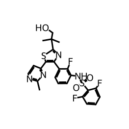 Cc1nccc(-c2sc(C(C)(C)CO)nc2-c2cccc(NS(=O)(=O)c3c(F)cccc3F)c2F)n1